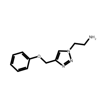 NCCn1cc(COc2ccccc2)nn1